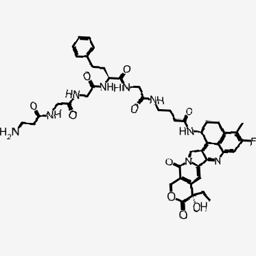 CC[C@@]1(O)C(=O)OCc2c1cc1n(c2=O)Cc2c-1nc1cc(F)c(C)c3c1c2[C@@H](NC(=O)CCCNC(=O)CNC(=O)[C@H](CCc1ccccc1)NC(=O)CNC(=O)CNC(=O)CCN)CC3